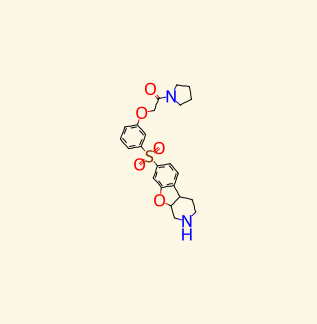 O=C(COc1cccc(S(=O)(=O)c2ccc3c(c2)OC2CNCCC32)c1)N1CCCC1